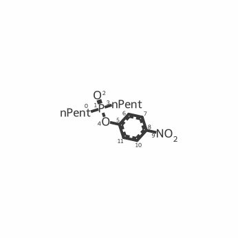 CCCCCP(=O)(CCCCC)Oc1ccc([N+](=O)[O-])cc1